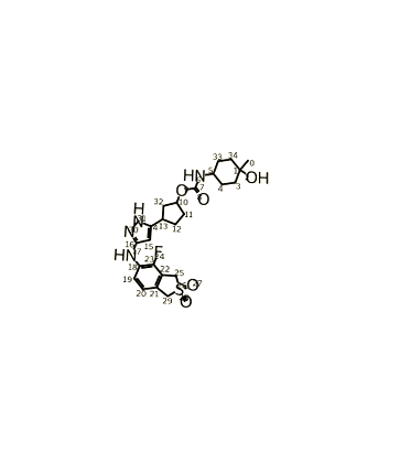 CC1(O)CCC(NC(=O)OC2CCC(c3cc(Nc4ccc5c(c4F)CS(=O)(=O)C5)n[nH]3)C2)CC1